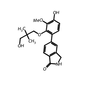 COc1c(O)ccc(-c2ccc3c(c2)CNC3=O)c1OCC(C)(C)CO